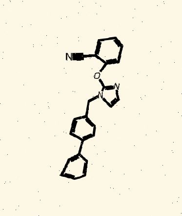 N#Cc1ccccc1Oc1nccn1Cc1ccc(-c2ccccc2)cc1